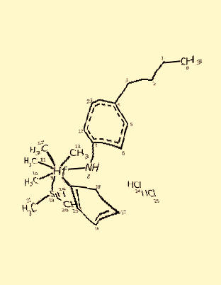 CCCCc1ccc([NH][Hf]([CH3])([CH3])([CH3])([CH3])([C]2=CC=CC2)[SiH](C)C)cc1.Cl.Cl